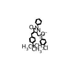 CC(C)(C)c1ccc(/C=C2/C(=O)N(c3ccccc3)N=C2C[S+]([O-])c2ccc(Cl)cc2)cc1